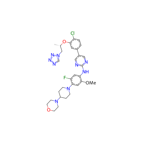 COc1cc(N2CCC(N3CCOCC3)CC2)c(F)cc1Nc1ncc(-c2ccc(Cl)c(O[C@@H](C)Cn3cnnn3)c2)cn1